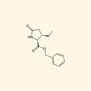 CC[C@@H]1CC(=O)N[C@@H]1C(=O)OCc1ccccc1